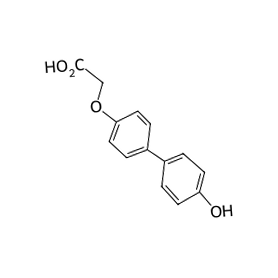 O=C(O)COc1ccc(-c2ccc(O)cc2)cc1